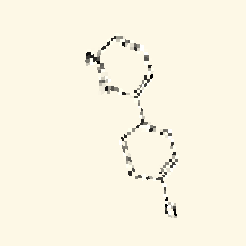 Clc1ccc(-c2cccnn2)cc1